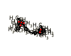 CCO[Si](C)(C)O[Si](O[Si](C)(C)C)(O[Si](C)(C)CCc1ccc(COCCOc2ccc(CC[Si](C)(C)O[Si](O[Si](C)(C)CC[Si](C)(C)OC)(O[Si](C)(C)OCC)c3ccccc3)cc2)cc1)c1ccccc1